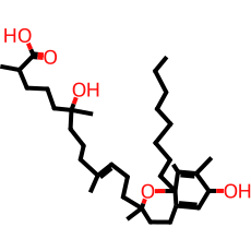 CCCCCCCCC12OC(C)(CC/C=C(\C)CCCC(C)(O)CCCC(C)C(=O)O)CCC1=CC(O)C(C)=C2C